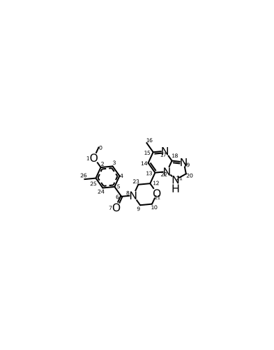 COc1ccc(C(=O)N2CCOC(C3=CC(C)=NC4=NCNN34)C2)cc1C